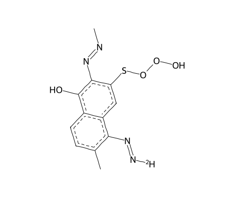 [2H]N=Nc1c(C)ccc2c(O)c(N=NC)c(SOOO)cc12